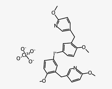 COc1ccc(Cc2cc([I+]c3ccc(OC)c(Cc4ccc(OC)nc4)c3)ccc2OC)cn1.[O-][Cl+3]([O-])([O-])[O-]